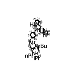 CCCCN1C[C@H](CC(C)C)N(CCC)CC12CCN(Cc1ccc(C(=O)N(Cc3ncc[nH]3)Cc3ncc[nH]3)cc1)CC2